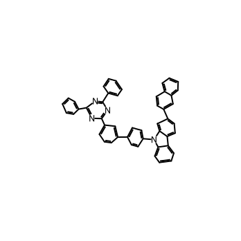 c1ccc(-c2nc(-c3ccccc3)nc(-c3cccc(-c4ccc(-n5c6ccccc6c6ccc(-c7ccc8ccccc8c7)cc65)cc4)c3)n2)cc1